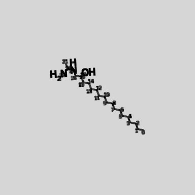 CCCCCCCCCCCCCCCCC(O)CNC(C)N